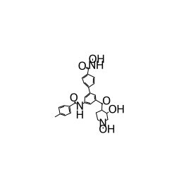 Cc1ccc(C(=O)Nc2cc(C(=O)C3CCN(O)CC3O)cc(-c3ccc(C(=O)NO)cc3)c2)cc1